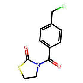 O=C1SCCN1C(=O)c1ccc(CCl)cc1